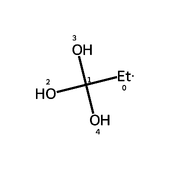 C[CH]C(O)(O)O